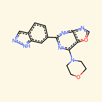 c1nc2nc(-c3ccc4cn[nH]c4c3)nc(N3CCOCC3)c2o1